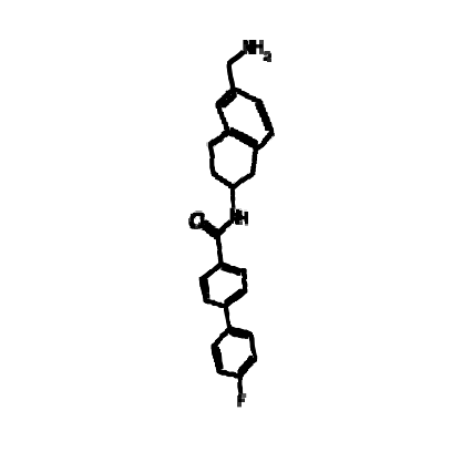 NCc1ccc2c(c1)CCC(NC(=O)c1ccc(-c3ccc(F)cc3)cc1)C2